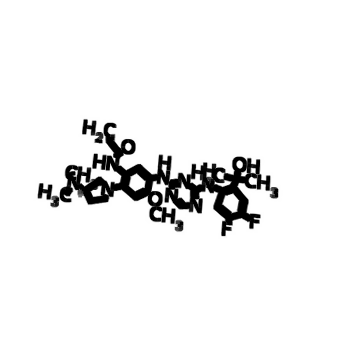 C=CC(=O)Nc1cc(Nc2ncnc(Nc3cc(F)c(F)cc3C(C)(C)O)n2)c(OC)cc1N1CC[C@@H](N(C)C)C1